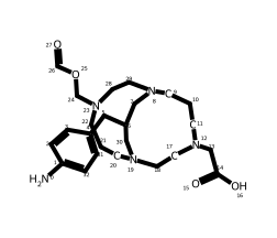 Nc1ccc(CC2CN3CCCN(CC(=O)O)CCN(CCCN(COC=O)CC3)C2)cc1